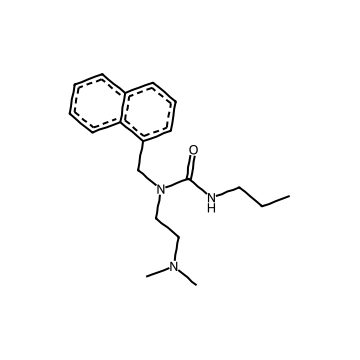 CCCNC(=O)N(CCN(C)C)Cc1cccc2ccccc12